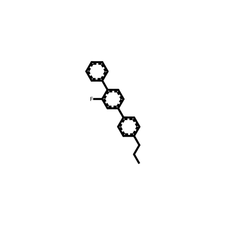 CCCc1ccc(-c2ccc(-c3ccccc3)c(F)c2)cc1